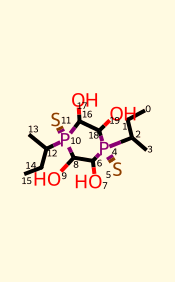 CCC(C)P1(=S)C(O)C(O)P(=S)(C(C)CC)C(O)C1O